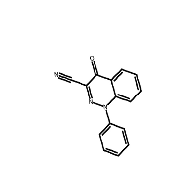 N#Cc1nn(-c2ccccc2)c2ccccc2c1=O